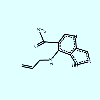 C=CCNc1c(C(N)=O)cnc2cn[nH]c12